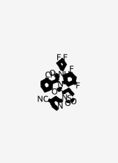 Cc1ccccc1[C@@H](C(=O)NC1CC(F)(F)C1)N(C(=O)[C@@H]1CCS(=O)(=O)N1c1cc(C#N)ccn1)c1cc(F)cc(F)c1